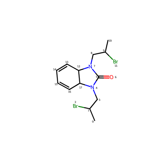 CC(Br)CN1C(=O)N(CC(C)Br)C2C=CC=CC21